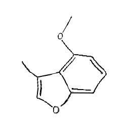 COc1cccc2occ(C)c12